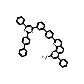 Cc1cc(-c2ccccc2)c2ccc3ccc(-c4ccc(-c5cccc(-c6cc(-c7ccccc7)nc(-c7ccc(-c8ccccc8)cc7)n6)c5)cc4)nc3c2n1